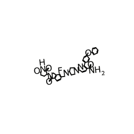 CN(Cc1ccc2c(c1F)CN(C1CCC(=O)NC1=O)C2=O)C1CCN(c2ccc(C(N)=O)c(-c3ccc(Oc4ccccc4)cc3)n2)CC1